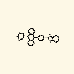 Cc1ccc(-c2c3ccccc3c(-c3ccc(-c4nc5ccccc5o4)cc3)c3ccccc23)cn1